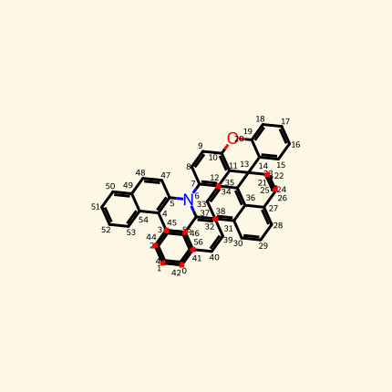 c1ccc(-c2c(N(c3ccc4c(c3)C3(c5ccccc5O4)c4ccccc4-c4cccc5cccc3c45)c3cccc4ccccc34)ccc3ccccc23)cc1